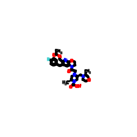 CC(=O)OCc1nc2c(cc1Cc1ccc(F)cc1)N(C(=O)CN1C[C@@H](C)N(C(=O)O)C[C@@H]1CN1CCOCC1C)CCO2